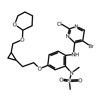 CN(c1cc(OCCC2CC2COC2CCCCO2)ccc1Nc1nc(Cl)ncc1Br)S(C)(=O)=O